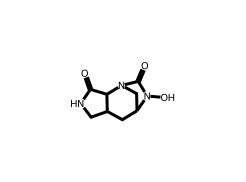 O=C1NCC2CC3CN(C(=O)N3O)C12